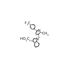 Cc1nc(-c2ccc(C(F)(F)F)cc2)sc1Cn1cc(CC(=O)O)c2ccccc21